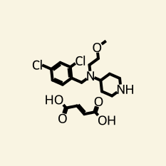 COCCN(Cc1ccc(Cl)cc1Cl)C1CCNCC1.O=C(O)/C=C/C(=O)O